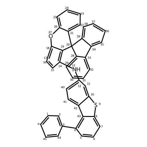 c1ccc(-c2cccc3sc4cc(Nc5cccc6c5C5(c7ccccc7O6)c6ccccc6-c6ccccc65)ccc4c23)cc1